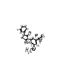 COc1cc(C2=C(N)CC(c3ccccc3)C2=O)cc(C(F)(F)F)c1